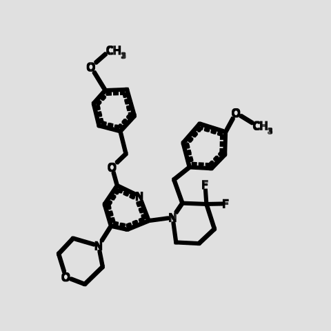 COc1ccc(COc2cc(N3CCOCC3)cc(N3CCCC(F)(F)C3Cc3ccc(OC)cc3)n2)cc1